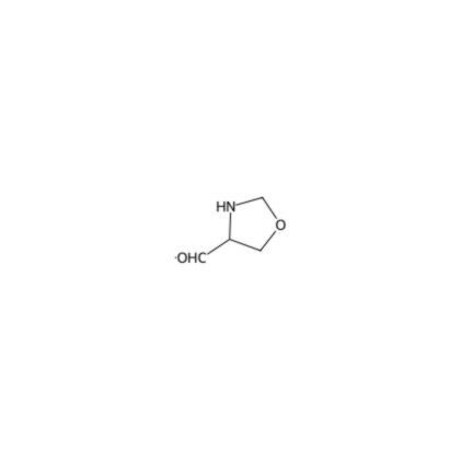 O=[C]C1COCN1